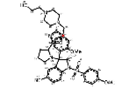 COc1ccc(S(=O)(=O)N2C(=O)C(c3ccc(CN4CCN(CCO)CC4)cc3OC)(N3CCCC3c3ncco3)c3cc(C#N)ccc32)cc1